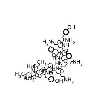 CCC(C)C(NC(=O)C(Cc1ccc(O)cc1)NC(=O)C1CCCN1C(=O)C(CCCCN)NC(=O)C(CCCCN)NC(=O)C(Cc1ccccc1)NC(=O)C(Cc1ccccc1)NC(=O)[C@@H](CCCCN)NC(=O)C(N)Cc1ccc(O)cc1)C(=O)NC(CC(C)C)C(=O)O